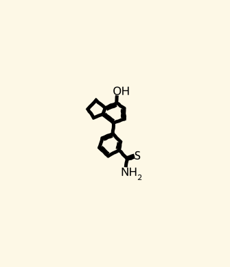 NC(=S)c1cccc(-c2ccc(O)c3c2CCC3)c1